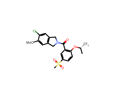 COc1cc2c(cc1Cl)CN(C(=O)c1cc(S(C)(=O)=O)ccc1O[C@@H](C)C(F)(F)F)C2